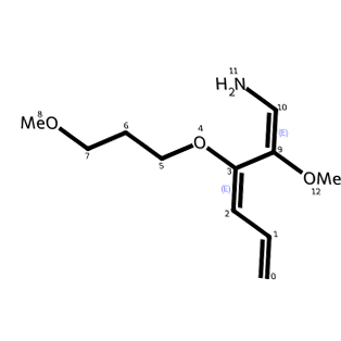 C=C/C=C(OCCCOC)\C(=C/N)OC